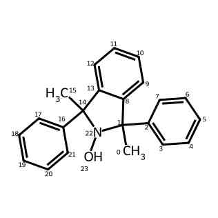 CC1(c2ccccc2)c2ccccc2C(C)(c2ccccc2)N1O